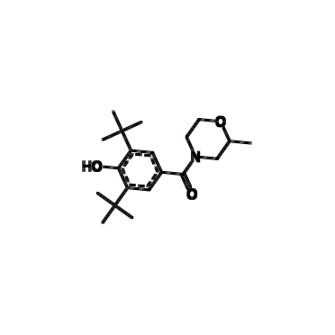 CC1CN(C(=O)c2cc(C(C)(C)C)c(O)c(C(C)(C)C)c2)CCO1